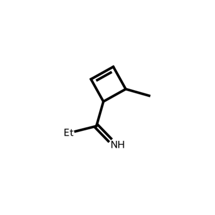 CCC(=N)C1C=CC1C